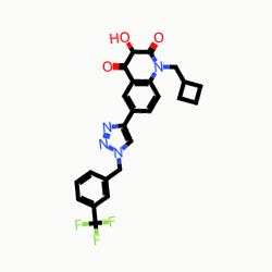 O=C1c2cc(-c3cn(Cc4cccc(C(F)(F)F)c4)nn3)ccc2N(CC2CCC2)C(=O)C1O